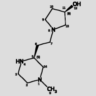 CN1CCN[C@@H](CCN2CC[C@@H](O)C2)C1